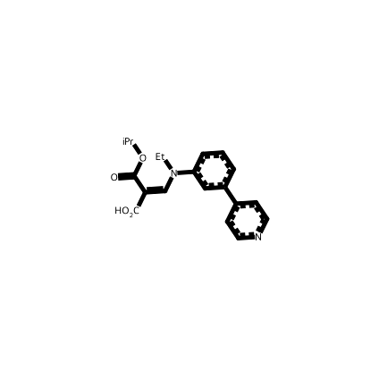 [CH2]C(C)OC(=O)C(=CN(CC)c1cccc(-c2ccncc2)c1)C(=O)O